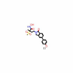 CCOc1ccc(-c2ccc3c(c2)CN(CCC(C)(C(=O)NO)S(C)(=O)=O)C3=O)cc1